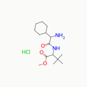 COC(=O)C(NC(=O)C(N)C1CCCCC1)C(C)(C)C.Cl